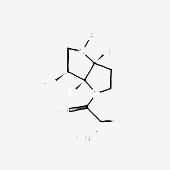 CC(=O)N[C@@H](C)C(=O)N1CC[C@@H]2[C@H]1[C@@H](O)CN2C(C)=O